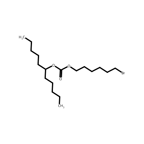 CCCCCC(CCCCC)OC(=O)OCCCCCCBr